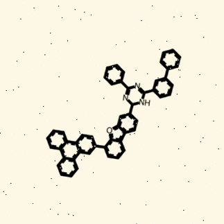 c1ccc(C2=NC(c3ccc4c(c3)oc3c(-c5ccc6c7ccccc7c7ccccc7c6c5)cccc34)NC(c3cccc(-c4ccccc4)c3)=N2)cc1